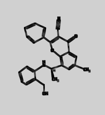 Cc1cc([C@@H](C)Nc2ccccc2CO)c2oc(-c3ccccc3)c(C#N)c(=O)c2c1